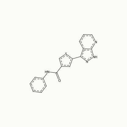 O=C(Nc1ccccc1)c1csc(-c2n[nH]c3ncccc23)c1